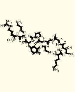 C[C@H](NC(=O)[C@@H](NC(=O)C(N)CCCCN)[C@@H](O)CN)C(=O)NCC(=O)N[C@H](CCCN)C(=O)N1CCC[C@H]1C(=O)N[C@@H](Cc1ccc(F)c(F)c1)C(=O)N[C@@H](CCCCN)C(=O)N/C(=C\CCNC(=N)N)C(=O)O